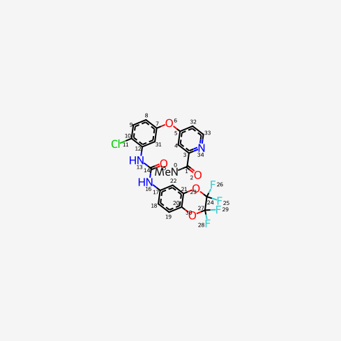 CNC(=O)c1cc(Oc2ccc(Cl)c(NC(=O)Nc3ccc4c(c3)OC(F)(F)C(F)(F)O4)c2)ccn1